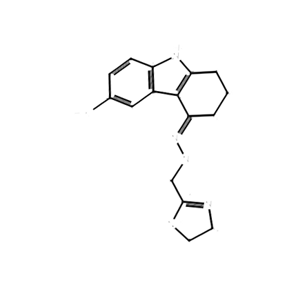 Cc1ccc2[nH]c3c(c2c1)C(=NNCC1=NCCN1)CCC3